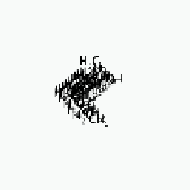 C=C.C=C.C=C.C=C.C=C.C=C.C=C.C=C.C=C.C=C.C=C.C=C.C=C.C=C.C=C.C=C.C=CC(=O)OCCO